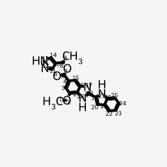 COc1cc(C(=O)OC(C)c2cn[nH]c2)cc2nc(-c3cc4ccccc4[nH]3)[nH]c12